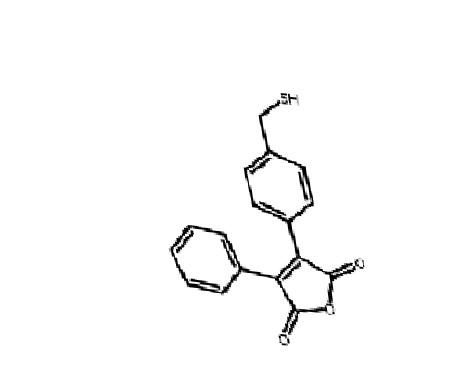 O=C1OC(=O)C(c2ccc(CS)cc2)=C1c1ccccc1